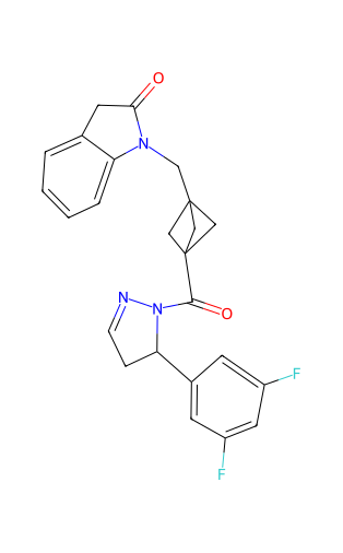 O=C1Cc2ccccc2N1CC12CC(C(=O)N3N=CCC3c3cc(F)cc(F)c3)(C1)C2